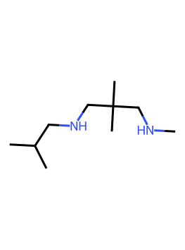 CNCC(C)(C)CNCC(C)C